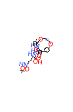 CC(C)[C@H]1COC/C=C/COc2ccc(cc2)C[C@@H](NC(=O)N[C@@H](CCCCNC(=O)OC(C)(C)C)C(=O)O)C(=O)N1